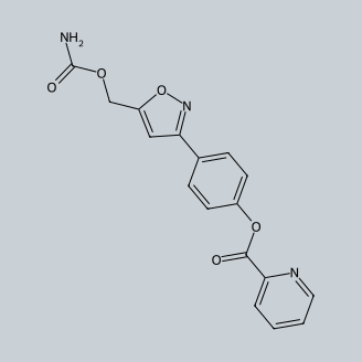 NC(=O)OCc1cc(-c2ccc(OC(=O)c3ccccn3)cc2)no1